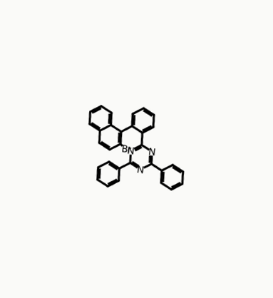 Brc1ccc2ccccc2c1-c1ccccc1-c1nc(-c2ccccc2)nc(-c2ccccc2)n1